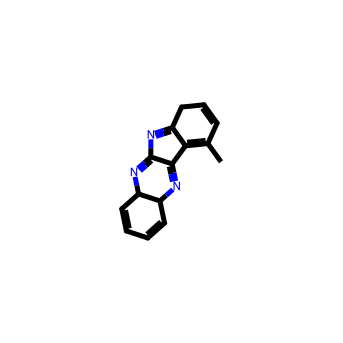 CC1=C2C(=NC3=NC4C=CC=CC4N=C32)CC=C1